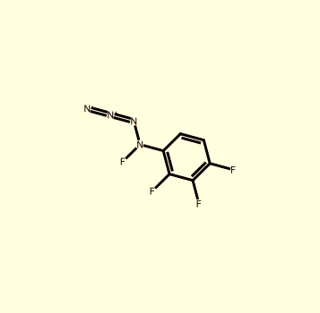 [N-]=[N+]=NN(F)c1ccc(F)c(F)c1F